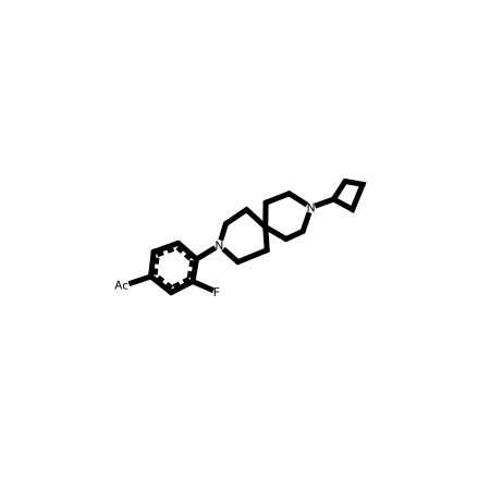 CC(=O)c1ccc(N2CCC3(CC2)CCN(C2CCC2)CC3)c(F)c1